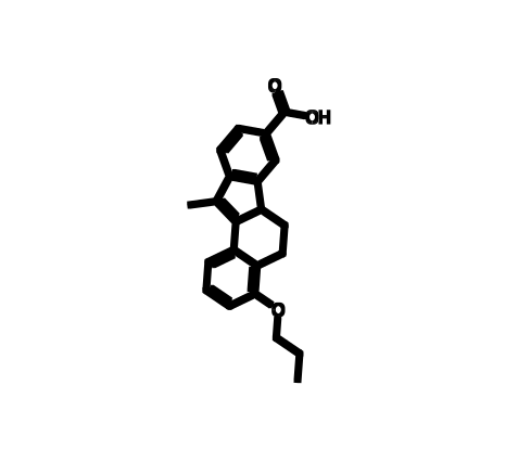 CCCOc1cccc2c1CCC1C2=C(C)c2ccc(C(=O)O)cc21